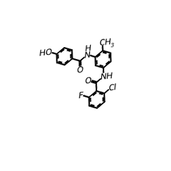 Cc1ccc(NC(=O)c2c(F)cccc2Cl)cc1NC(=O)c1ccc(O)cc1